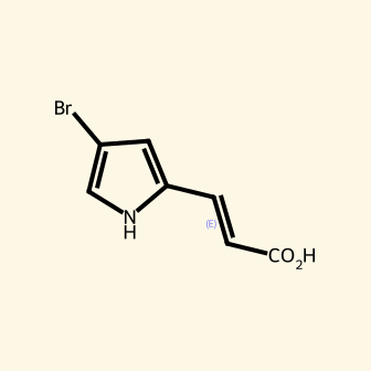 O=C(O)/C=C/c1cc(Br)c[nH]1